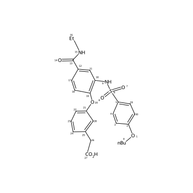 CCCCOc1ccc(S(=O)(=O)Nc2cc(C(=O)NCC)ccc2Oc2cccc(CC(=O)O)c2)cc1